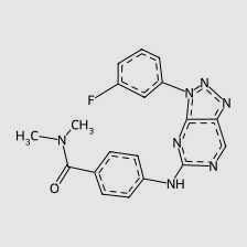 CN(C)C(=O)c1ccc(Nc2ncc3nnn(-c4cccc(F)c4)c3n2)cc1